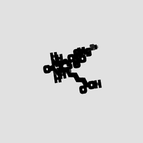 O=C(O)CCCC[C@@H]1SC[C@@H]2NC(=O)N[C@@H]21.O=S(=O)([O-])[O-].[Mg+2]